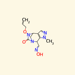 C=CCON1C(=O)N2CC1c1cnn(C)c1C2/C=N/O